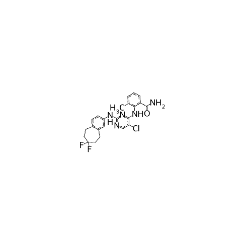 Cc1cccc(C(N)=O)c1Nc1nc(Nc2ccc3c(c2)CCC(F)(F)CC3)ncc1Cl